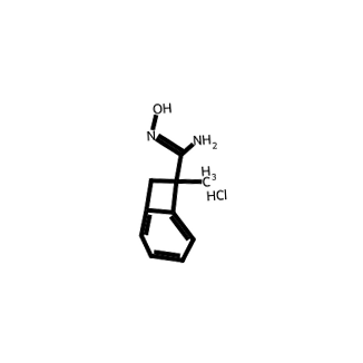 CC1(C(N)=NO)Cc2ccccc21.Cl